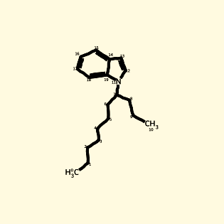 CCCCCCCC(CCC)n1ccc2ccccc21